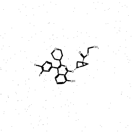 CCOC(=O)[C@@]12CC1[C@H](Oc1nc(C3CCOCC3)c(-c3ccc(F)c(F)c3)c3cccc(O)c13)C2